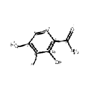 Cc1c(O)cnc(C(N)=O)c1O